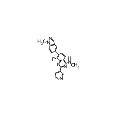 CNc1nc(-c2cccnc2)nc2c(F)c(-c3ccc4c(cnn4C)c3)ccc12